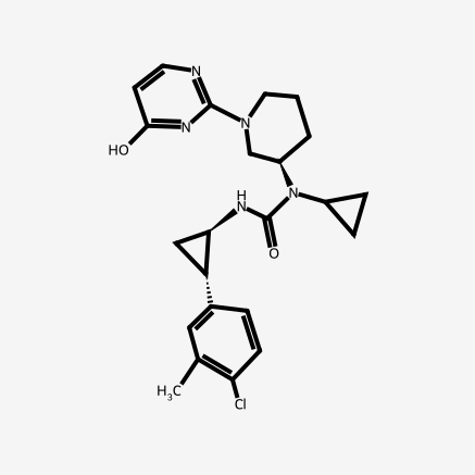 Cc1cc([C@@H]2C[C@H]2NC(=O)N(C2CC2)[C@@H]2CCCN(c3nccc(O)n3)C2)ccc1Cl